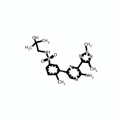 Cc1ccc(S(=O)(=O)NCC(C)(C)O)cc1-c1cnc(N)c(-c2nn(C)nc2C)n1